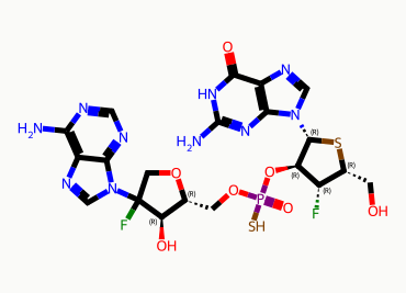 Nc1nc2c(ncn2[C@@H]2S[C@H](CO)[C@H](F)[C@H]2OP(=O)(S)OC[C@H]2OCC(F)(n3cnc4c(N)ncnc43)[C@@H]2O)c(=O)[nH]1